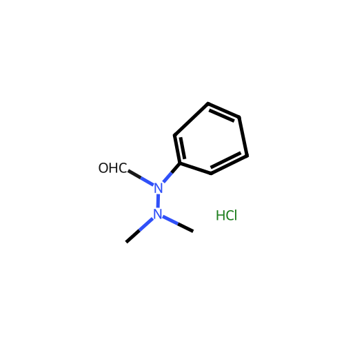 CN(C)N(C=O)c1ccccc1.Cl